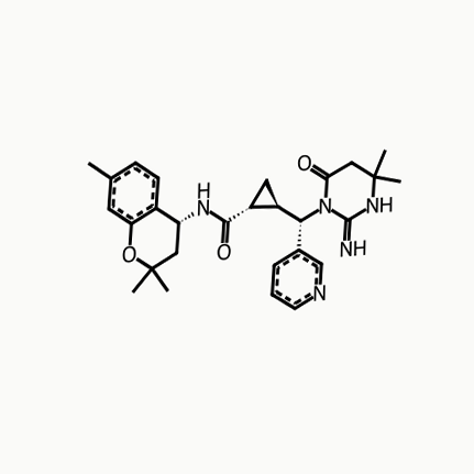 Cc1ccc2c(c1)OC(C)(C)C[C@H]2NC(=O)[C@@H]1C[C@H]1[C@@H](c1cccnc1)N1C(=N)NC(C)(C)CC1=O